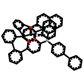 c1ccc(-c2ccc(N(c3ccc4c(c3)C3(c5ccccc5-c5ccccc5-4)c4ccccc4-c4c3cc3ccc5cccc6ccc4c3c56)c3ccccc3-c3ccccc3)cc2)cc1